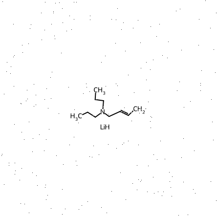 [CH2]/C=C/CN(CCC)CCC.[LiH]